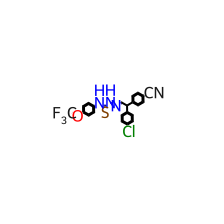 N#Cc1ccc(C(C=NNC(=S)Nc2ccc(OC(F)(F)F)cc2)c2ccc(Cl)cc2)cc1